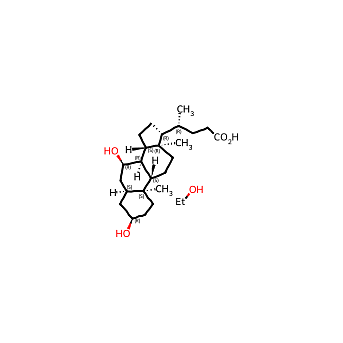 CCO.C[C@H](CCC(=O)O)[C@H]1CC[C@H]2[C@@H]3[C@H](O)C[C@@H]4C[C@H](O)CC[C@]4(C)[C@H]3CC[C@]12C